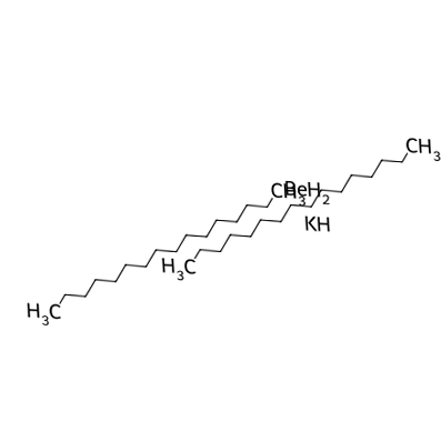 CCCCCCCCCCCCCCCC.CCCCCCCCCCCCCCCC.[BeH2].[KH]